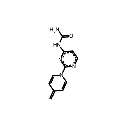 C=C1C=CN(c2nccc(NC(N)=O)n2)C=C1